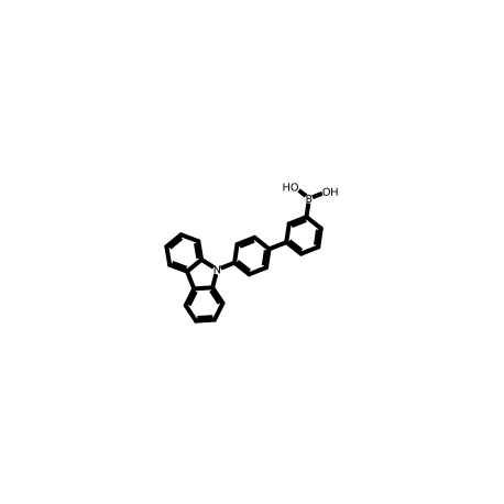 OB(O)c1cccc(-c2ccc(-n3c4ccccc4c4ccccc43)cc2)c1